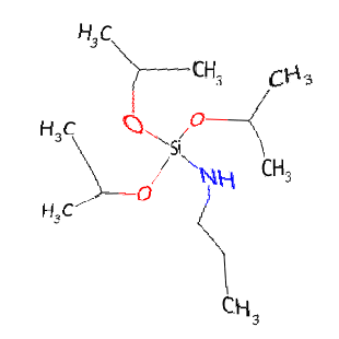 CCCN[Si](OC(C)C)(OC(C)C)OC(C)C